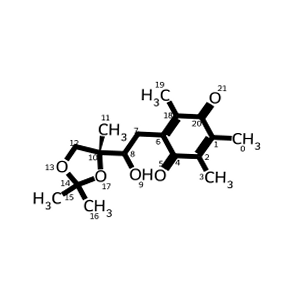 CC1=C(C)C(=O)C(CC(O)[C@@]2(C)COC(C)(C)O2)=C(C)C1=O